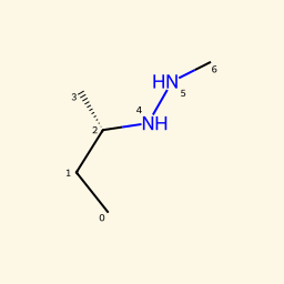 CC[C@H](C)NNC